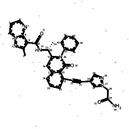 Cc1nn2cccnc2c1C(=O)N[C@H](C)c1cc2cccc(C#Cc3cnn(CC(N)=O)c3)c2c(=O)n1-c1ccccc1